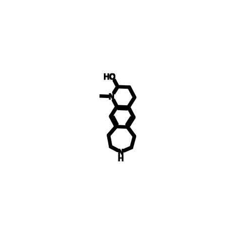 CN1c2cc3c(cc2CCC1O)CCNCC3